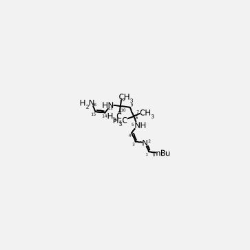 CCCCC=N/C=C\NC(C)(C)CC(C)(C)N/C=C\N